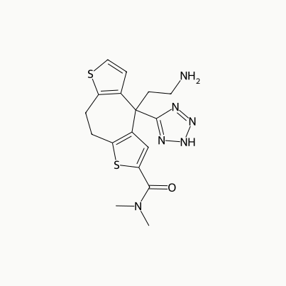 CN(C)C(=O)c1cc2c(s1)CCc1sccc1C2(CCN)c1nn[nH]n1